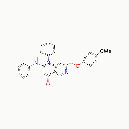 COc1ccc(OCc2cc3c(cn2)c(=O)cc(Nc2ccccc2)n3-c2ccccc2)cc1